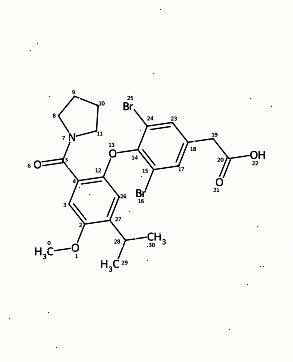 COc1cc(C(=O)N2CCCC2)c(Oc2c(Br)cc(CC(=O)O)cc2Br)cc1C(C)C